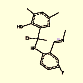 CCC(C)(Pc1ccc(F)cc1/C=N/C)c1cc(C)cc(C)c1O